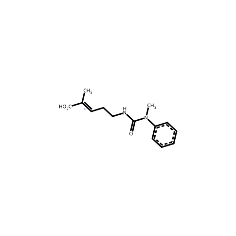 C/C(=C\CCNC(=O)N(C)c1ccccc1)C(=O)O